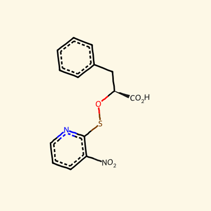 O=C(O)[C@H](Cc1ccccc1)OSc1ncccc1[N+](=O)[O-]